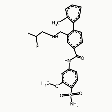 COc1cc(NC(=O)c2ccc(-c3ccccc3C)c(CNCC(F)F)c2)ccc1S(N)(=O)=O